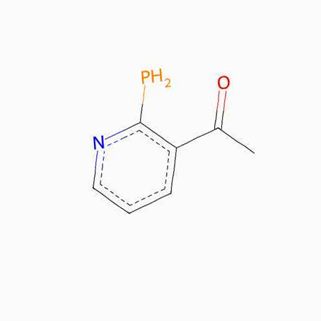 CC(=O)c1cccnc1P